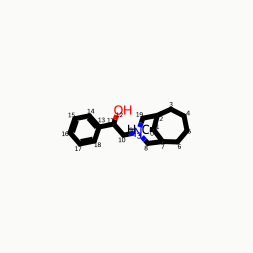 CC1C2CCCCC1CN(CC(O)c1ccccc1)C2